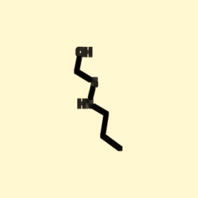 CCCNSCO